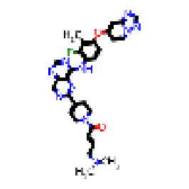 Cc1c(Oc2ccn3ncnc3c2)ccc(Nc2ncnc3cnc(C4=CCN(C(=O)/C=C/CN(C)C)CC4)nc23)c1F